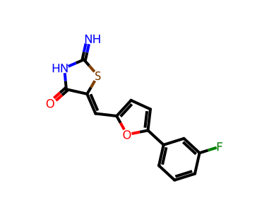 N=C1NC(=O)/C(=C/c2ccc(-c3cccc(F)c3)o2)S1